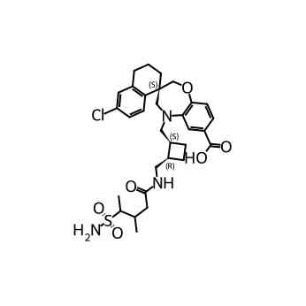 CC(CC(=O)NC[C@@H]1CC[C@@H]1CN1C[C@@]2(CCCc3cc(Cl)ccc32)COc2ccc(C(=O)O)cc21)C(C)S(N)(=O)=O